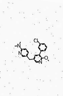 COc1ncc(Cc2ccc(N(C)C)nc2)cc1-c1cccc(Cl)c1